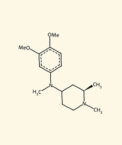 COc1ccc(N(C)C2CCN(C)[C@H](C)C2)cc1OC